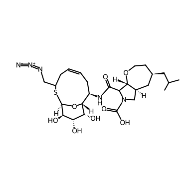 CC(C)C[C@@H]1CCO[C@H]2C(C(=O)N[C@@H]3C/C=C\CC(CN=[N+]=[N-])S[C@H]4O[C@H]3[C@H](O)[C@H](O)[C@H]4O)N(C(=O)O)C[C@@H]2C1